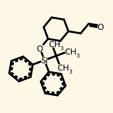 CC(C)(C)[Si](OC1CCCC(CC=O)C1)(c1ccccc1)c1ccccc1